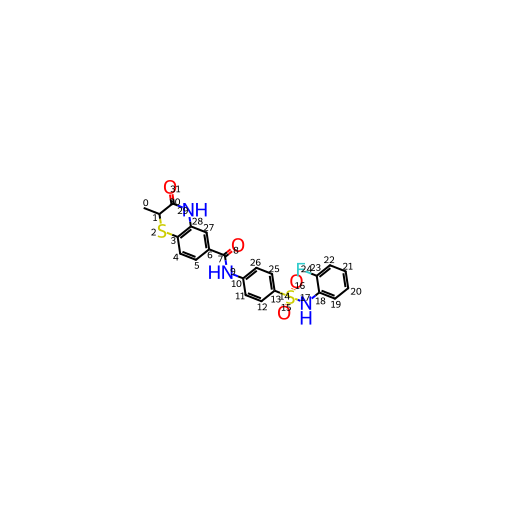 CC1Sc2ccc(C(=O)Nc3ccc(S(=O)(=O)Nc4ccccc4F)cc3)cc2NC1=O